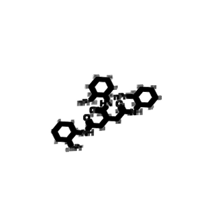 CCCC1CCCCC1NC(=O)CC(CC(=O)NC1CCCCC1CCC)C(=O)NC1CCCCC1CCC